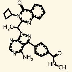 CNC(=O)c1ccc(-c2nn(C(C)c3nc4ccccc4c(=O)n3C3CCC3)c3ncnc(N)c23)cc1